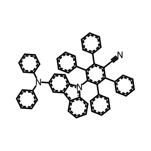 N#Cc1c(-c2ccccc2)c(-c2ccccc2)c(-n2c3ccccc3c3cc(N(c4ccccc4)c4ccccc4)ccc32)c(-c2ccccc2)c1-c1ccccc1